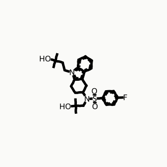 CC(C)(O)CCn1c2c(c3ccccc31)CC(N(CC(C)(C)O)S(=O)(=O)c1ccc(F)cc1)CC2